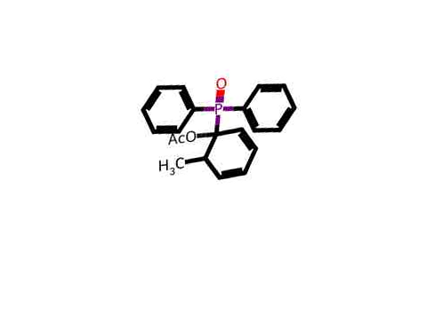 CC(=O)OC1(P(=O)(c2ccccc2)c2ccccc2)C=CC=CC1C